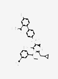 CC[C@@H](c1cccc(C#N)c1)n1c(CC2CC2)nc(=O)c(S(=O)(=O)c2ccc(-c3ccc(F)cc3C(N)=O)cc2)c1O